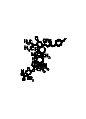 CC(C)C1=C2[C@H]3CC[C@@H]4[C@@]5(C)CC[C@H](OC(=O)CC(C)(C)C(=O)O)C(C)(C)C5(S)CC[C@@]4(C)[C@]3(C)CC[C@@]2([C@@H](O)CNCc2ccc(F)cc2)CC1=O